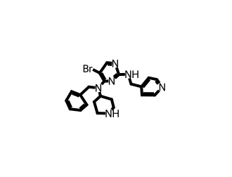 Brc1cnc(NCc2ccncc2)nc1N(Cc1ccccc1)C1CCNCC1